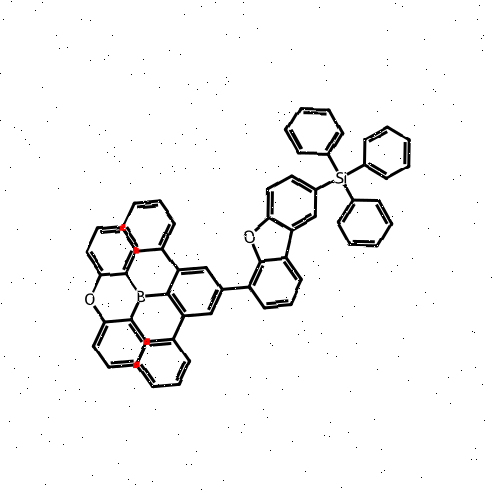 c1ccc(-c2cc(-c3cccc4c3oc3ccc([Si](c5ccccc5)(c5ccccc5)c5ccccc5)cc34)cc(-c3ccccc3)c2B2c3ccccc3Oc3ccccc32)cc1